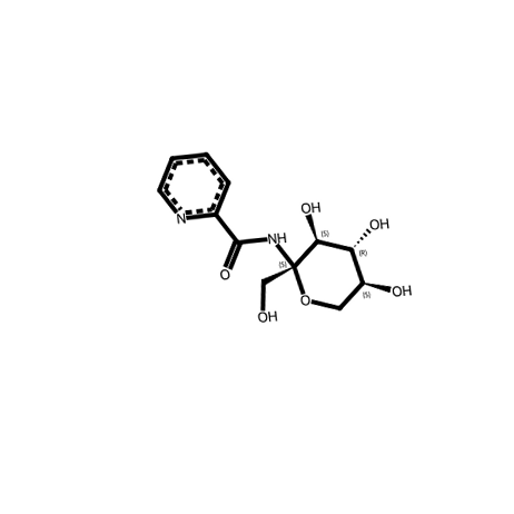 O=C(N[C@@]1(CO)OC[C@H](O)[C@@H](O)[C@@H]1O)c1ccccn1